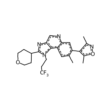 Cc1cc2c(cc1-c1c(C)noc1C)ncc1nc(C3CCOCC3)n(CCC(F)(F)F)c12